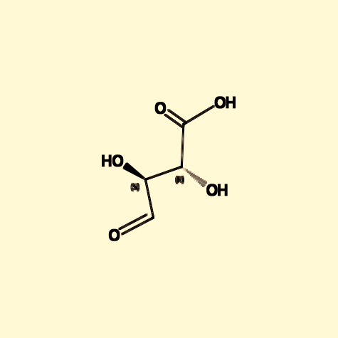 O=C[C@@H](O)[C@@H](O)C(=O)O